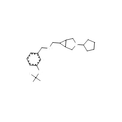 FC(F)(F)Oc1cccc(CNCC2C3CN(C4CCCC4)CC23)c1